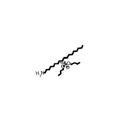 CCCCCCCCCCCCCCCCCCN.CCCCOP(=O)(O)OCCCC